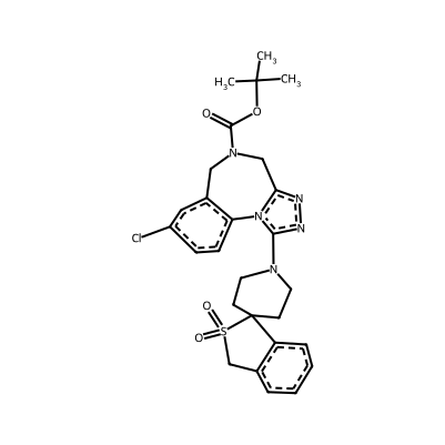 CC(C)(C)OC(=O)N1Cc2cc(Cl)ccc2-n2c(nnc2N2CCC3(CC2)c2ccccc2CS3(=O)=O)C1